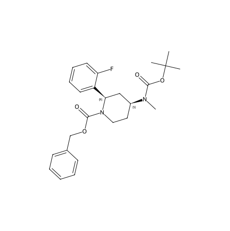 CN(C(=O)OC(C)(C)C)[C@H]1CCN(C(=O)OCc2ccccc2)[C@@H](c2ccccc2F)C1